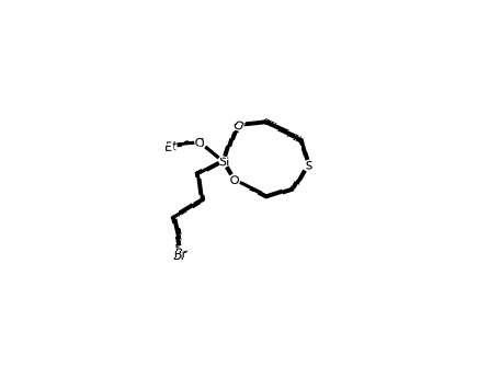 CCO[Si]1(CCCBr)OCCSCCO1